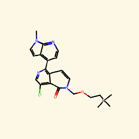 Cn1ccc2c(-c3ncc(Cl)c4c(=O)n(COCC[Si](C)(C)C)ccc34)ccnc21